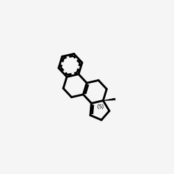 C[C@@]12CCC=C1C1=C(CC2)c2ccccc2CC1